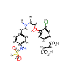 CC(COc1ccccc1Cl)N(C)CCc1ccc(NS(C)(=O)=O)cc1.O=C(O)C=CC(=O)O